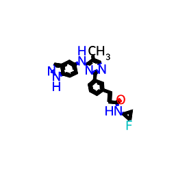 Cc1cnc(-c2cccc(/C=C/C(=O)NC3CC3F)c2)nc1Nc1ccc2[nH]ncc2c1